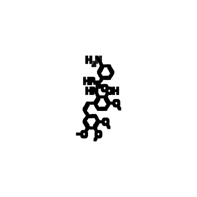 COc1ccc(/C=C\c2cc(OC)c(OC)c(OC)c2)c(NS(=O)(=P)c2cccc(N)c2)c1O